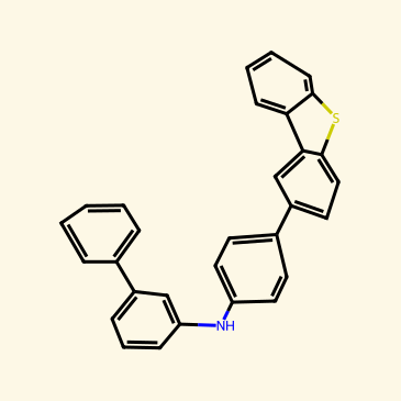 c1ccc(-c2cccc(Nc3ccc(-c4ccc5sc6ccccc6c5c4)cc3)c2)cc1